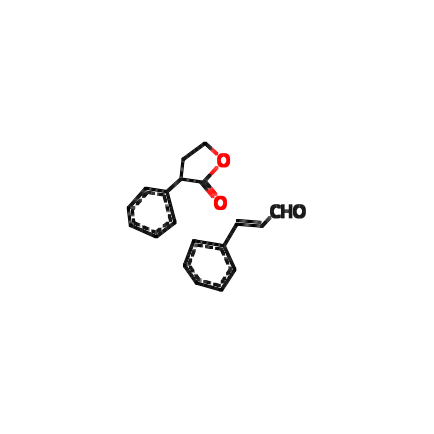 O=C1OCCC1c1ccccc1.O=CC=Cc1ccccc1